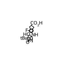 CN(CC(=O)Nc1cc2c(c(F)c1O)CC(C(=O)O)C2)C(=O)OC(C)(C)C